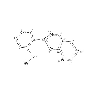 CC(C)Oc1ccccc1-c1cc2ncncc2cn1